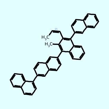 C/C=C\c1c(C)c(-c2ccc3cc(-c4cccc5ccccc45)ccc3c2)c2ccccc2c1-c1ccc2ccccc2c1